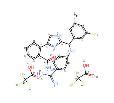 CCc1cc(F)cc(C(Nc2ccc(C(=N)N)cc2)c2nc(-c3ccccc3C(N)=O)c[nH]2)c1.O=C(O)C(F)(F)F.O=C(O)C(F)(F)F